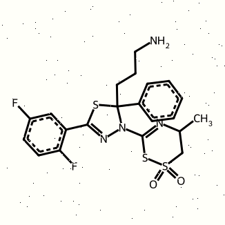 CC1CS(=O)(=O)SC(N2N=C(c3cc(F)ccc3F)SC2(CCCN)c2ccccc2)=N1